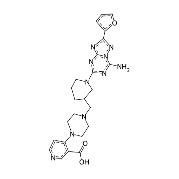 Nc1nc(N2CCCC(CN3CCN(c4ccncc4C(=O)O)CC3)C2)nc2nc(-c3ccco3)nn12